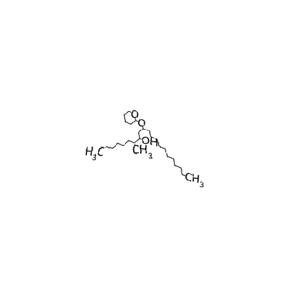 CCCCCCCCCCCC(CC(O)[C@H](C)CCCCCC)OC1CCCCO1